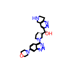 O[C@H](c1cc2c(nn1)CCNC2)[C@H]1CCCN(c2nnnc3cc(N4CCOCC4)ccc23)C1